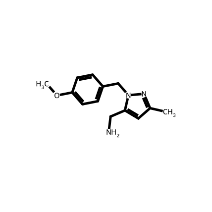 COc1ccc(Cn2nc(C)cc2CN)cc1